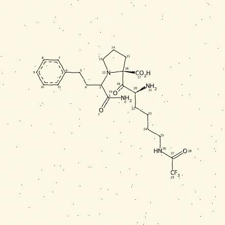 NC(=O)C(CCc1ccccc1)N1CCC[C@]1(C(=O)O)C(=O)[C@@H](N)CCCCNC(=O)C(F)(F)F